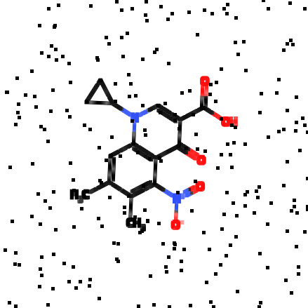 Cc1cc2c(c([N+](=O)[O-])c1C)c(=O)c(C(=O)O)cn2C1CC1